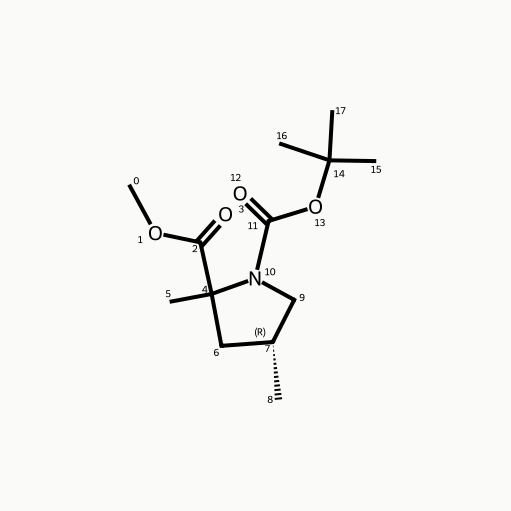 COC(=O)C1(C)C[C@@H](C)CN1C(=O)OC(C)(C)C